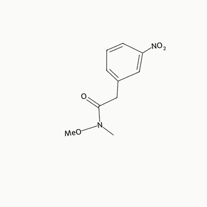 CON(C)C(=O)Cc1cccc([N+](=O)[O-])c1